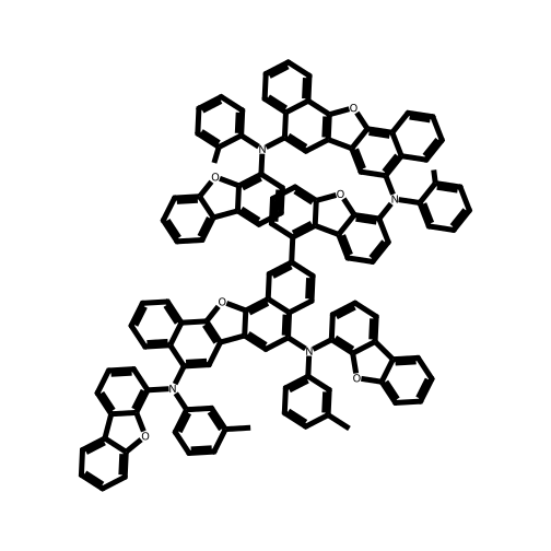 Cc1cccc(N(c2cc3c4cc(N(c5cccc(C)c5)c5cccc6c5oc5ccccc56)c5ccc(-c6cccc7oc8c(N(c9ccccc9C)c9cc%10c%11cc(N(c%12ccccc%12C)c%12cccc%13c%12oc%12ccccc%12%13)c%12ccccc%12c%11oc%10c%10ccccc9%10)cccc8c67)cc5c4oc3c3ccccc23)c2cccc3c2oc2ccccc23)c1